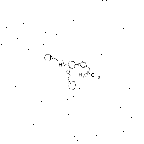 CN(C)Cc1ccn(-c2ccc(NCCCN3CCCCC3)c(OCCN3CCCCC3)c2)c1